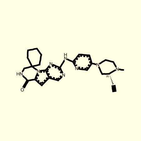 C#C[C@@H]1CN(c2ccc(Nc3ncc4cc5n(c4n3)C3(CCCCC3)CNC5=O)nc2)CCN1C